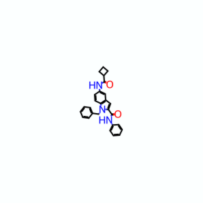 O=C(Nc1ccccc1)c1cc2cc(NC(=O)C3CCC3)ccc2n1Cc1ccccc1